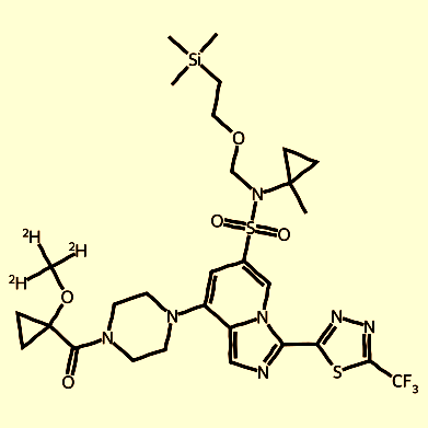 [2H]C([2H])([2H])OC1(C(=O)N2CCN(c3cc(S(=O)(=O)N(COCC[Si](C)(C)C)C4(C)CC4)cn4c(-c5nnc(C(F)(F)F)s5)ncc34)CC2)CC1